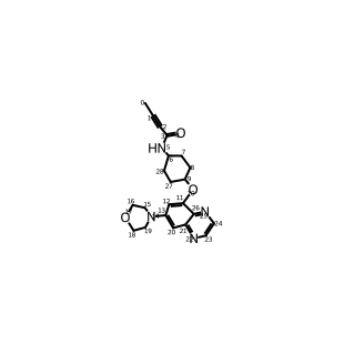 CC#CC(=O)NC1CCC(Oc2cc(N3CCOCC3)cc3nccnc23)CC1